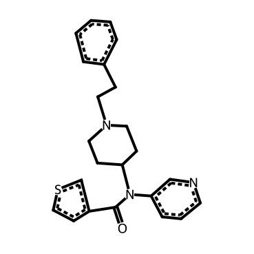 O=C(c1ccsc1)N(c1cccnc1)C1CCN(CCc2ccccc2)CC1